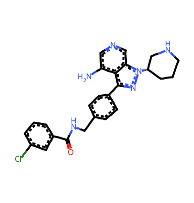 Nc1cncc2c1c(-c1ccc(CNC(=O)c3cccc(Cl)c3)cc1)nn2[C@@H]1CCCNC1